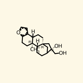 C[C@]12CCc3occc3[C@@H]1CC[C@]13CC(CC[C@@H]12)[C@](O)(CO)C3